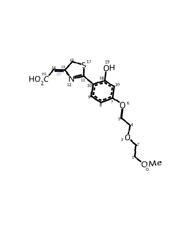 COCCOCCOc1ccc(C2=N/C(=C\C(=O)O)CS2)c(O)c1